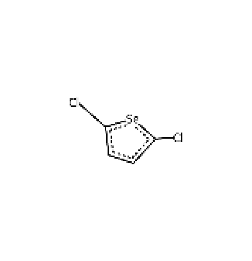 Clc1ccc(Cl)[se]1